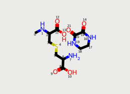 CNC(CSCC(N)C(=O)O)C(=O)O.O=C1NCCNC1=O